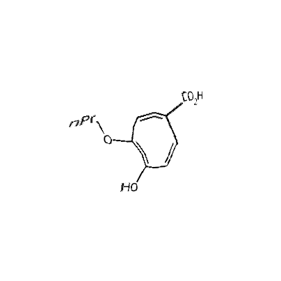 [CH2]CCOc1cc(C(=O)O)ccc1O